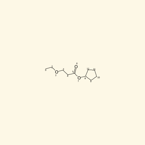 C[CH]OCCC(=O)OC1CCCC1